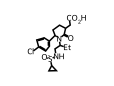 CCC(CN[S+]([O-])C1CC1)N1C(=O)C(CC(=O)O)CCC1c1ccc(Cl)cc1